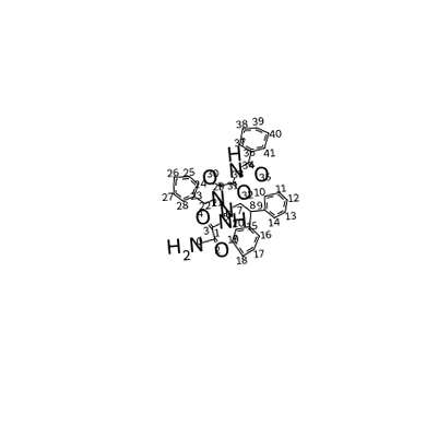 NC(=O)C(=O)NN(CC(c1ccccc1)c1ccccc1)N(Cc1ccccc1)C(=O)C(=O)NC(=O)c1ccccc1